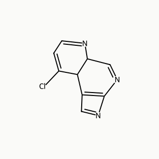 ClC1=CC=NC2C=NC3=C(C=N3)C12